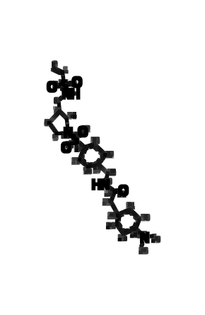 C=CS(=O)(=O)NCC1CCN(S(=O)(=O)c2ccc(CNC(=O)Cc3ccc(N(C)C)cc3)cc2)C1